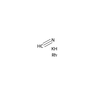 C#N.[KH].[Rh]